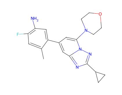 Cc1cc(F)c(N)cc1-c1cc(N2CCOCC2)n2nc(C3CC3)nc2c1